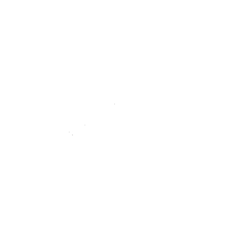 CCCC(CC)C(CC)(CC)C(CC)(CC)C(N)(CC)CC